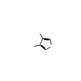 Nc1cscc1F